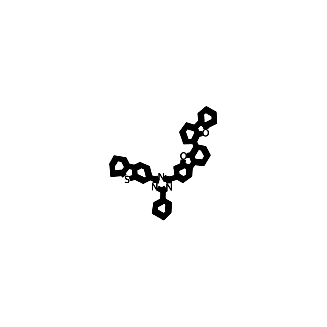 c1ccc(-c2nc(-c3ccc4c(c3)oc3c(-c5cccc6c5oc5ccccc56)cccc34)nc(-c3ccc4c(c3)sc3ccccc34)n2)cc1